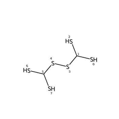 SC(S)SSC(S)S